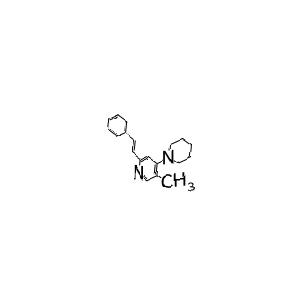 Cc1cnc(C=Cc2ccccc2)cc1N1CCCCC1